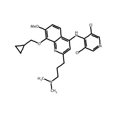 COc1ccc2c(Nc3c(Cl)cncc3Cl)cc(CCCN(C)C)nc2c1OCC1CC1